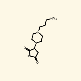 CNCCCN1CCN(C2CC(=O)NC2=O)CC1